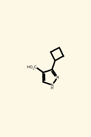 O=C(O)c1c[nH]nc1C1CCC1